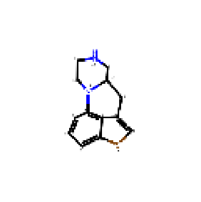 c1cc2c3c(csc3c1)CC1CNCCN21